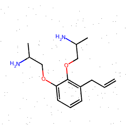 C=CCc1cccc(OCC(C)N)c1OCC(C)N